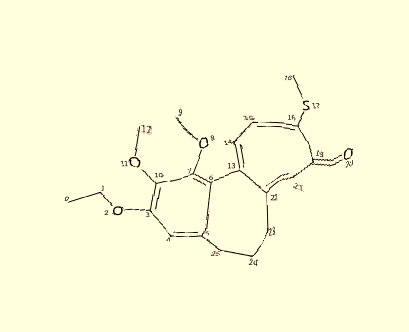 CCOc1cc2c(c(OC)c1OC)-c1ccc(SC)c(=O)cc1CCC2